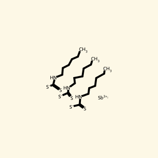 CCCCCCNC(=S)[S-].CCCCCCNC(=S)[S-].CCCCCCNC(=S)[S-].[Sb+3]